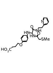 CSCC(=O)NC(Nc1ccc(OCCCC(=O)O)cc1)C(=O)NCCc1ccccn1